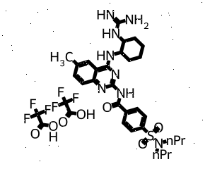 CCCN(CCC)S(=O)(=O)c1ccc(C(=O)Nc2nc(NC3CCCCC3NC(=N)N)c3cc(C)ccc3n2)cc1.O=C(O)C(F)(F)F.O=C(O)C(F)(F)F